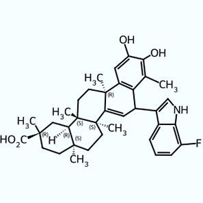 Cc1c(O)c(O)cc2c1C(c1c[nH]c3c(F)cccc13)C=C1[C@@]2(C)CC[C@@]2(C)[C@@H]3C[C@](C)(C(=O)O)CC[C@]3(C)CC[C@]12C